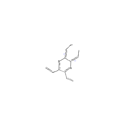 C=Cc1nc(=C/C)/c(=C\C)nc1C=C